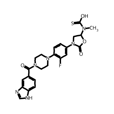 CN(C(O)=S)C1CN(c2ccc(N3CCN(C(=O)c4ccc5[nH]cnc5c4)CC3)c(F)c2)C(=O)O1